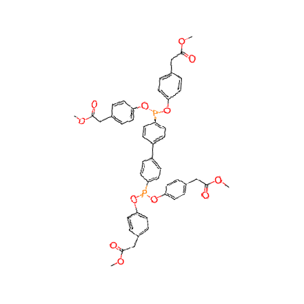 COC(=O)Cc1ccc(OP(Oc2ccc(CC(=O)OC)cc2)c2ccc(-c3ccc(P(Oc4ccc(CC(=O)OC)cc4)Oc4ccc(CC(=O)OC)cc4)cc3)cc2)cc1